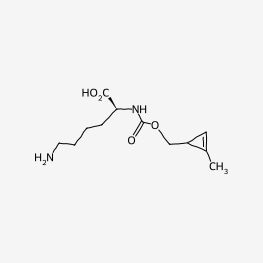 CC1=CC1COC(=O)N[C@@H](CCCCN)C(=O)O